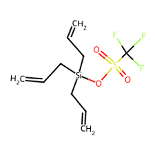 C=CC[Si](CC=C)(CC=C)OS(=O)(=O)C(F)(F)F